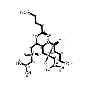 CCCCCCCCCCCCCC(=O)OC(C[N+](C)(C)CB(O)O)C(C[N+](C)(C)CB(O)O)OC(=O)CCCCCCCCCCCCC